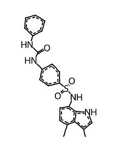 Cc1ccc(NS(=O)(=O)c2ccc(NC(=O)Nc3ccccc3)cc2)c2[nH]cc(C)c12